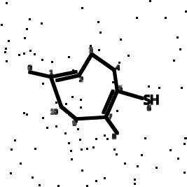 C/C1=C\CC/C(S)=C(/C)CC1